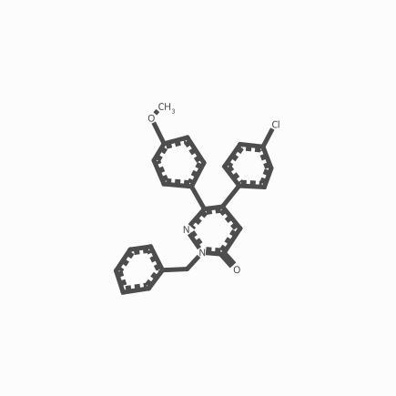 COc1ccc(-c2nn(Cc3ccccc3)c(=O)cc2-c2ccc(Cl)cc2)cc1